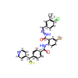 O=C(Nc1ccc(Br)cc1C(=O)N/N=C\c1ccc(Cl)c(C(F)(F)F)c1)c1ccc(C(S)c2ccncc2)cc1